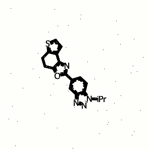 CC(C)n1nnc2cc(-c3nc4c(o3)CCc3sccc3-4)ccc21